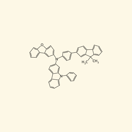 CC1(C)c2ccccc2-c2ccc(-c3ccc(N(c4ccc5oc6ccccc6c5c4)c4ccc5c6ccccc6n(-c6ccccc6)c5c4)cc3)cc21